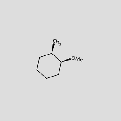 CO[C@H]1CCCC[C@H]1C